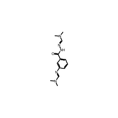 CN(C)/C=N/NC(=O)c1cccc(/N=C/N(C)C)c1